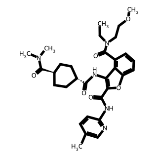 CCN(CCOC)C(=O)c1cccc2oc(C(=O)Nc3ccc(C)cn3)c(NC(=O)[C@H]3CC[C@H](C(=O)N(C)C)CC3)c12